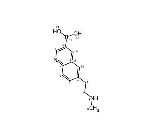 CNCCc1ccc2ncc(B(O)O)cc2c1